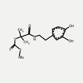 CCCCSC(=S)SC(C)(C)C(=O)NCCc1ccc(O)c(O)c1